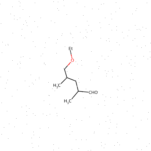 CCOCC(C)CC(C)C=O